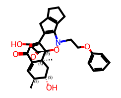 C[C@H]1C=C2C(=O)C=C3C4=C(C5=C(CCC5)C4)N(CCOc4ccccc4)O[C@]3(C(=O)CO)[C@@]2(C)C[C@@H]1O